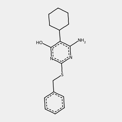 Nc1nc(SCc2ccccc2)nc(O)c1C1CCCCC1